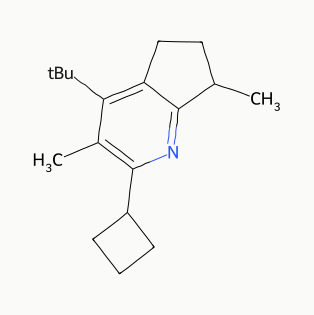 Cc1c(C2CCC2)nc2c(c1C(C)(C)C)CCC2C